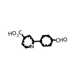 O=Cc1ccc(-c2cc(C(=O)O)ccn2)cc1